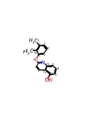 Cc1cccc(Oc2ccc3c(O)cccc3n2)c1C